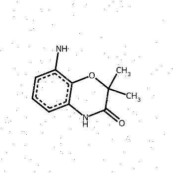 CC1(C)Oc2c([NH])cccc2NC1=O